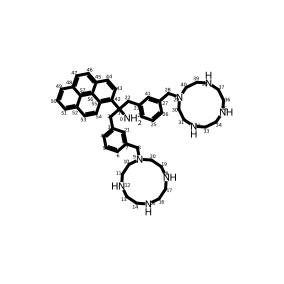 NC(Cc1cccc(CN2CCNCCNCCNCC2)c1)(Cc1cccc(CN2CCNCCNCCNCC2)c1)c1ccc2ccc3cccc4ccc1c2c34